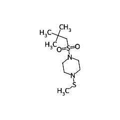 CSN1CCN(S(=O)(=O)CC(C)(C)C)CC1